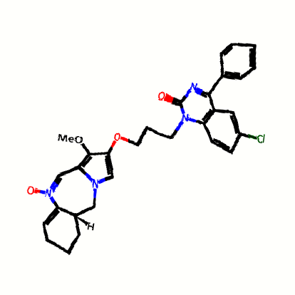 COc1c(OCCCn2c(=O)nc(-c3ccccc3)c3cc(Cl)ccc32)cn2c1C=[N+]([O-])C1=CCCC[C@H]1C2